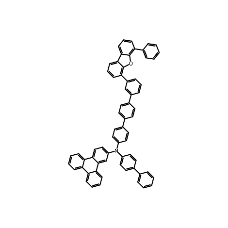 c1ccc(-c2ccc(N(c3ccc(-c4ccc(-c5cccc(-c6cccc7c6oc6c(-c8ccccc8)cccc67)c5)cc4)cc3)c3ccc4c5ccccc5c5ccccc5c4c3)cc2)cc1